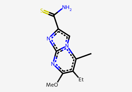 CCc1c(OC)nc2nc(C(N)=S)cn2c1C